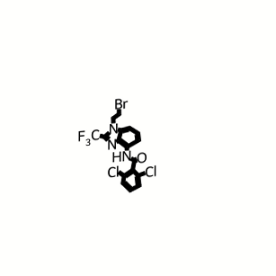 O=C(Nc1cccc2c1nc(C(F)(F)F)n2CCBr)c1c(Cl)cccc1Cl